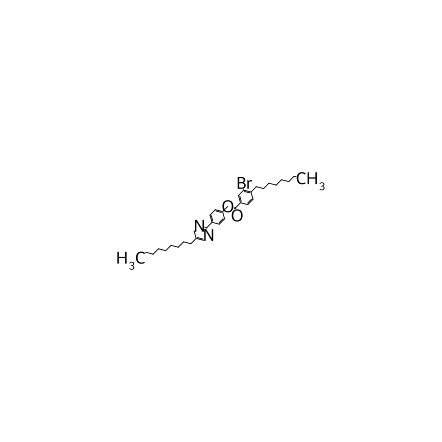 CCCCCCCCCc1cnc(-c2ccc(OC(=O)c3ccc(CCCCCCCC)c(Br)c3)cc2)nc1